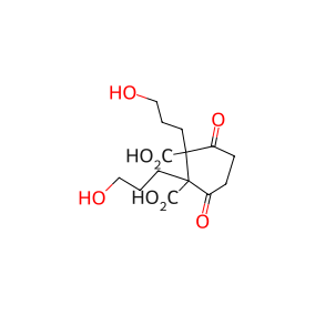 O=C(O)C1(CCCO)C(=O)CCC(=O)C1(CCCO)C(=O)O